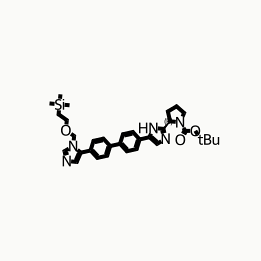 CC(C)(C)OC(=O)N1CCC[C@@H]1c1ncc(-c2ccc(-c3ccc(-c4cncn4COCC[Si](C)(C)C)cc3)cc2)[nH]1